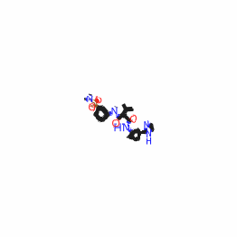 C=C(C)C(C(=O)Nc1cccc(-c2ncc[nH]2)c1)C(=O)N(C)c1cccc(S(=O)(=O)N(C)C)c1